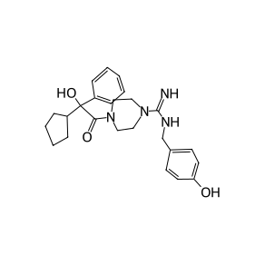 N=C(NCc1ccc(O)cc1)N1CCN(C(=O)C(O)(c2ccccc2)C2CCCC2)CC1